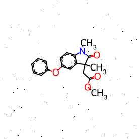 COC(=O)CC1(C)C(=O)N(C)c2ccc(Oc3ccccc3)cc21